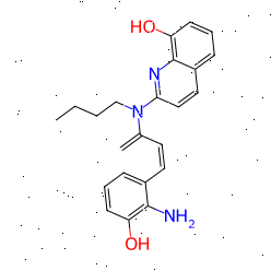 C=C(/C=C\c1cccc(O)c1N)N(CCCC)c1ccc2cccc(O)c2n1